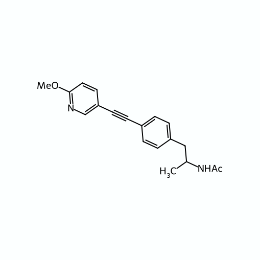 COc1ccc(C#Cc2ccc(CC(C)NC(C)=O)cc2)cn1